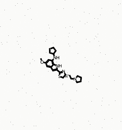 COc1cc(NC2CCCC2)c2[nH]c(C3=N[C@H](CCN4CCCC4)CS3)cc2c1